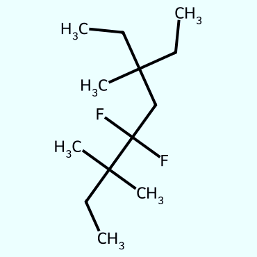 CCC(C)(CC)CC(F)(F)C(C)(C)CC